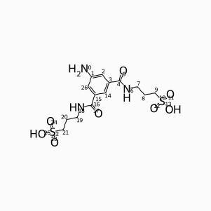 Nc1cc(C(=O)NCCCS(=O)(=O)O)cc(C(=O)NCCCS(=O)(=O)O)c1